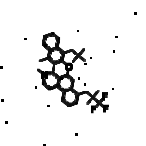 Cc1c2c(c(CC(C)(C)C)c3ccccc13)Oc1cc3c(CC(C)(C)C(F)(F)F)cccc3c3cc[n+](C)c-2c13